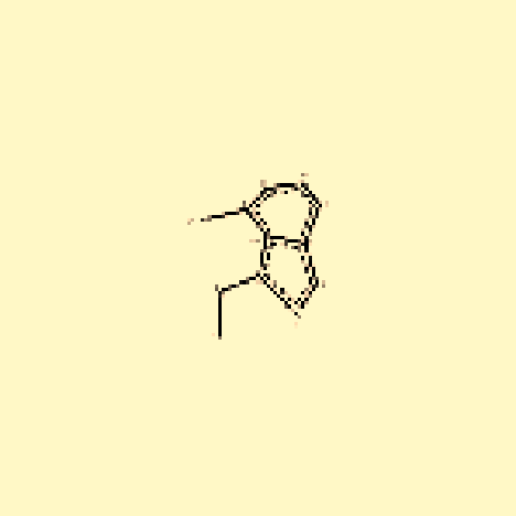 CCc1scc2cccc(F)c12